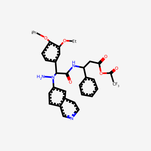 CCOc1cc(C(C(=O)NC(CC(=O)OC(=O)C(F)(F)F)c2ccccc2)N(N)c2ccc3cnccc3c2)ccc1OC(C)C